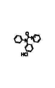 Cl.O=C(N(c1ccccc1)c1ccccc1)[n+]1ccccc1